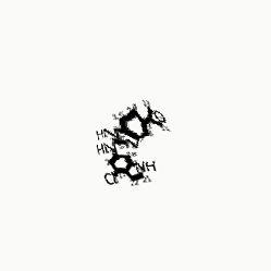 Clc1cc(Nc2nc3cc(C4COC4)ccc3[nH]2)cc2[nH]ccc12